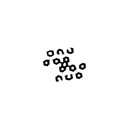 C1=CC(N(c2ccccc2)c2ccc(-c3c4ccc(N(c5cccnc5)c5ccccn5)cc4c(-c4ccc(N(c5ccccc5)c5ccccc5)cc4)c4ccc(N(c5cccnc5)c5ccccn5)cc34)cc2)=CCC1